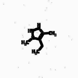 CCC1=C(C)NNN1C